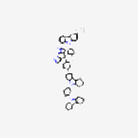 N#Cc1ccc2c(c1)c1ccccc1n2-c1ccc2c(c1)C1(c3ccc(-c4ccc5c(c4)c4ccccc4n5-c4cccc(-n5c6ccccc6c6ccccc65)c4)cc3S2)c2cccnc2-c2ncccc21